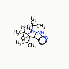 CC(C)C1C2c3cccnc3NC2N(C(C)(C)C)C1C(C)(C)C